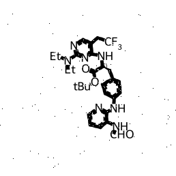 CCN(CC)c1ncc(CC(F)(F)F)c(N[C@@H](Cc2ccc(Nc3ncccc3NC=O)cc2)C(=O)OC(C)(C)C)n1